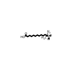 CC(C)(CCCCCCCCCCC(=O)O)[SH](=O)=O